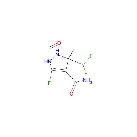 C=O.CC1(C(F)F)NNC(F)=C1C(N)=O